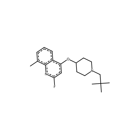 Cc1cccc2c(OC3CCN(CC(C)(C)C)CC3)cc(F)nc12